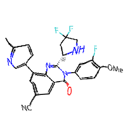 COc1ccc(-n2c([C@@H]3CC(F)(F)CN3)nc3c(-c4ccc(C)nc4)cc(C#N)cc3c2=O)cc1F